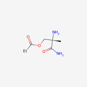 CCC(=O)OC[C@](C)(N)C(N)=O